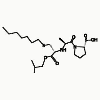 CCCCCCCSC[C@H](N[C@@H](C)C(=O)N1CCC[C@H]1C(=O)O)C(=O)OCC(C)C